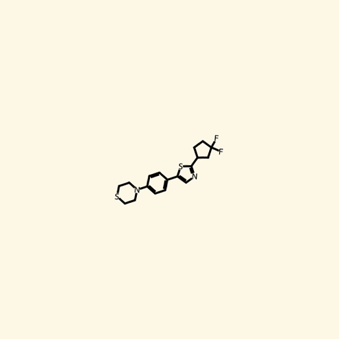 FC1(F)CCC(c2ncc(-c3ccc(N4CCSCC4)cc3)s2)C1